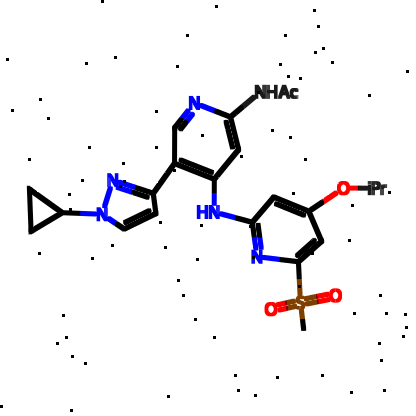 CC(=O)Nc1cc(Nc2cc(OC(C)C)cc(S(C)(=O)=O)n2)c(-c2ccn(C3CC3)n2)cn1